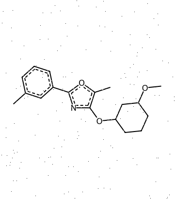 COC1CCCC(Oc2nc(-c3cccc(C)c3)oc2C)C1